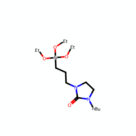 CCCCN1CCN(CCC[Si](OCC)(OCC)OCC)C1=O